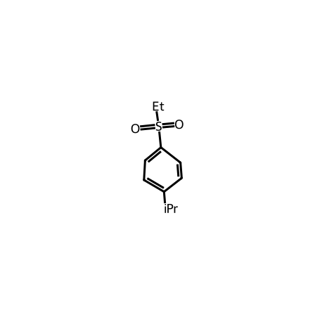 [CH2]CS(=O)(=O)c1ccc(C(C)C)cc1